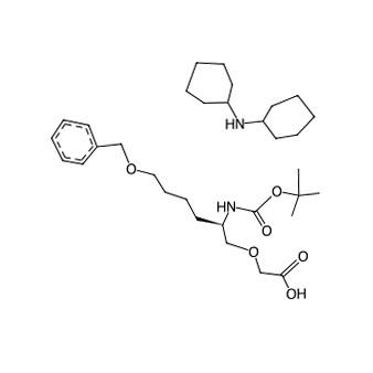 C1CCC(NC2CCCCC2)CC1.CC(C)(C)OC(=O)N[C@H](CCCCOCc1ccccc1)COCC(=O)O